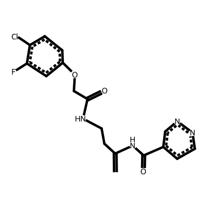 C=C(CCNC(=O)COc1ccc(Cl)c(F)c1)NC(=O)c1ccnnc1